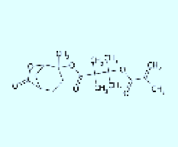 C=C(C)C(=O)OC(C)(C)C(C)(C)C(=O)OC1(C)CCC2CC1OC2=O